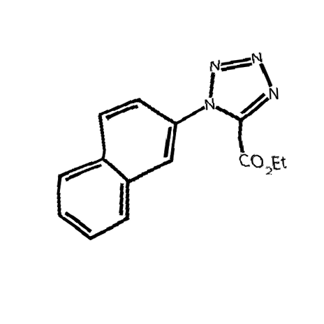 CCOC(=O)c1nnnn1-c1ccc2ccccc2c1